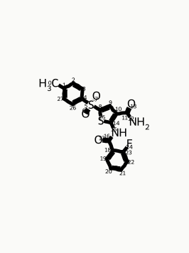 Cc1ccc(S(=O)(=O)c2cc(C(N)=O)c(NC(=O)c3ccccc3F)s2)cc1